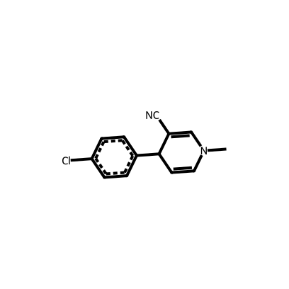 CN1C=CC(c2ccc(Cl)cc2)C(C#N)=C1